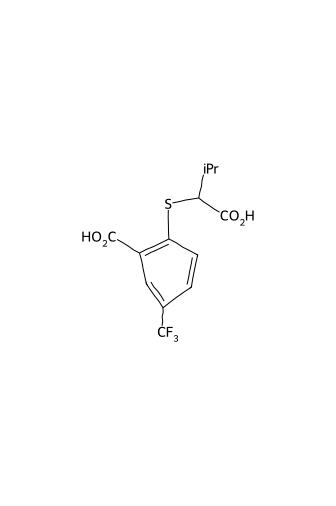 CC(C)C(Sc1ccc(C(F)(F)F)cc1C(=O)O)C(=O)O